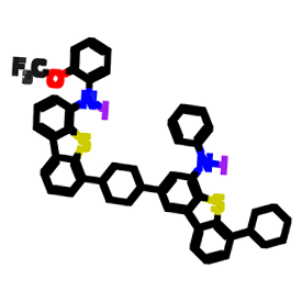 FC(F)(F)Oc1ccccc1N(I)c1cccc2c1sc1c(C3CCC(c4cc(N(I)c5ccccc5)c5sc6c(C7CCCCC7)cccc6c5c4)CC3)cccc12